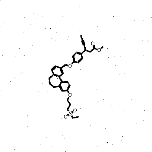 CC#CC(CC(=O)OC)c1ccc(OCc2ccc3c(c2)-c2ccc(OCCCS(=O)(=O)CC)cc2CCC3)cc1